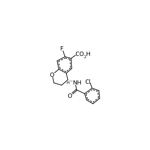 O=C(O)c1cc2c(cc1F)OCC[C@H]2NC(=O)c1ccccc1Cl